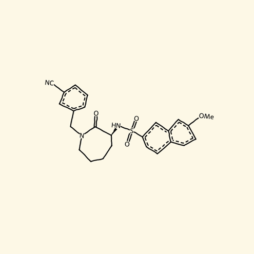 COc1ccc2ccc(S(=O)(=O)N[C@H]3CCCCN(Cc4cccc(C#N)c4)C3=O)cc2c1